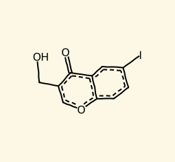 O=c1c(CO)coc2ccc(I)cc12